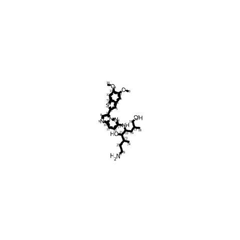 COc1cc2cc(-c3cnc4ccc(NC(CC(C)CO)C(O)C(C)CCN)nn34)sc2cc1OC